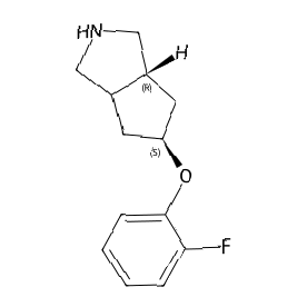 Fc1ccccc1O[C@H]1CC2CNC[C@@H]2C1